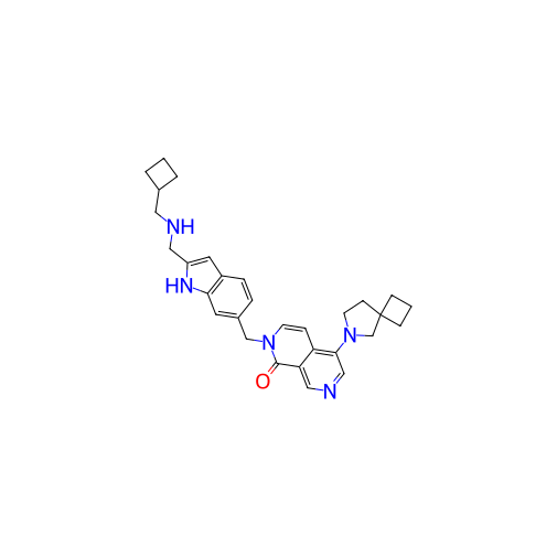 O=c1c2cncc(N3CCC4(CCC4)C3)c2ccn1Cc1ccc2cc(CNCC3CCC3)[nH]c2c1